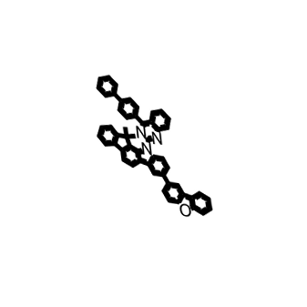 CC1(C)c2ccccc2-c2ccc3c4cc(-c5ccc6oc7ccccc7c6c5)ccc4n(-c4nc(-c5ccc(-c6ccccc6)cc5)c5ccccc5n4)c3c21